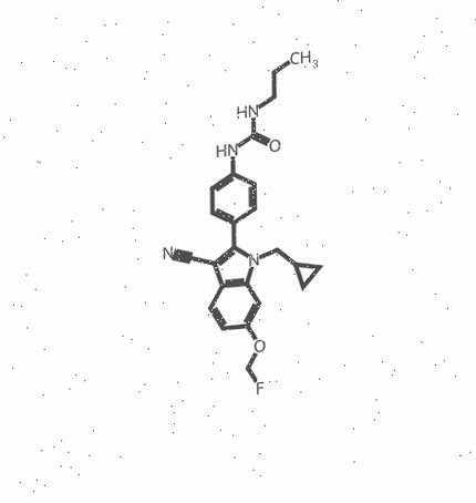 CCCNC(=O)Nc1ccc(-c2c(C#N)c3ccc(OCF)cc3n2CC2CC2)cc1